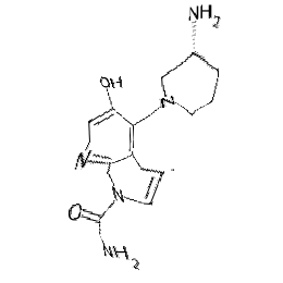 NC(=O)n1c[c]c2c(N3CCC[C@@H](N)C3)c(O)cnc21